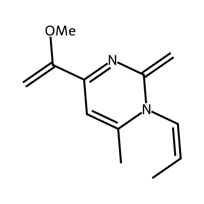 C=C(OC)C1=NC(=C)N(/C=C\C)C(C)=C1